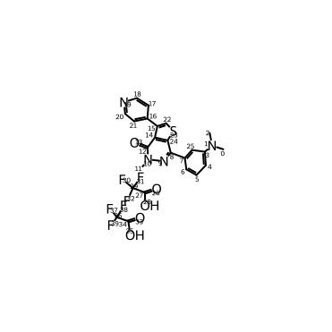 CN(C)c1cccc(-c2nn(C)c(=O)c3c(-c4ccncc4)csc23)c1.O=C(O)C(F)(F)F.O=C(O)C(F)(F)F